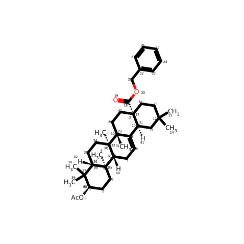 CC(=O)O[C@@H]1CC[C@]2(C)[C@H]3CC=C4[C@@H]5CC(C)(C)CC[C@]5(C(=O)OCc5ccccc5)CC[C@@]4(C)[C@]3(C)CC[C@H]2C1(C)C